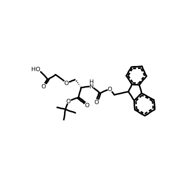 CC(C)(C)OC(=O)[C@H](COCC(=O)O)NC(=O)OCC1c2ccccc2-c2ccccc21